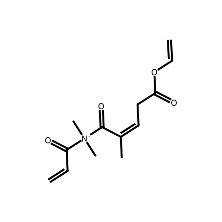 C=COC(=O)CC=C(C)C(=O)[N+](C)(C)C(=O)C=C